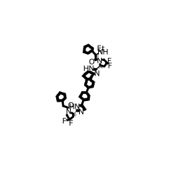 CCN[C@@H](C(=O)N1CC(F)(F)C[C@H]1c1nc2c(ccc3cc(-c4ccc(-c5cnc([C@@H]6CC(F)(F)CN6C(=O)Cc6ccccc6)[nH]5)cc4)ccc32)[nH]1)c1ccccc1